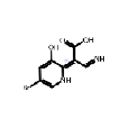 N=C/C(C(=O)O)=C1\NC=C(Br)C=C1O